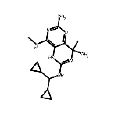 CNc1nc(N)nc2c1NC(NC(C1CC1)C1CC1)=NC2(C)N